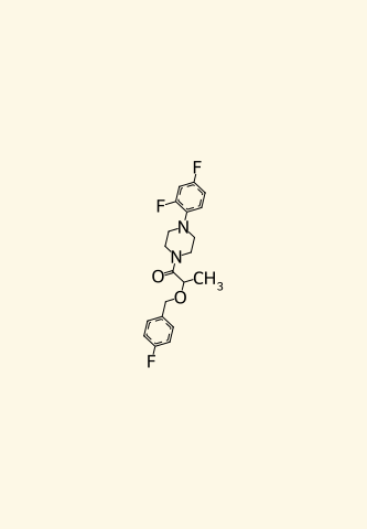 CC(OCc1ccc(F)cc1)C(=O)N1CCN(c2ccc(F)cc2F)CC1